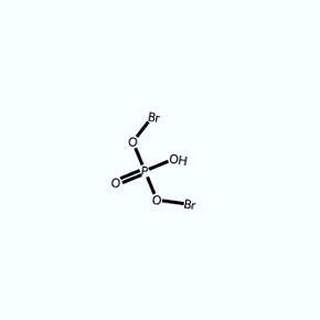 O=P(O)(OBr)OBr